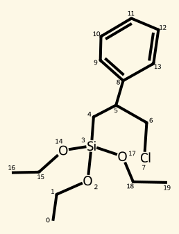 CCO[Si](CC(CCl)c1ccccc1)(OCC)OCC